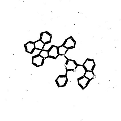 c1ccc(-c2nc(-c3cccc4oc5ccccc5c34)cc(-n3c4ccccc4c4cc5c(cc43)-c3ccccc3C53c4ccccc4-c4ccccc43)n2)cc1